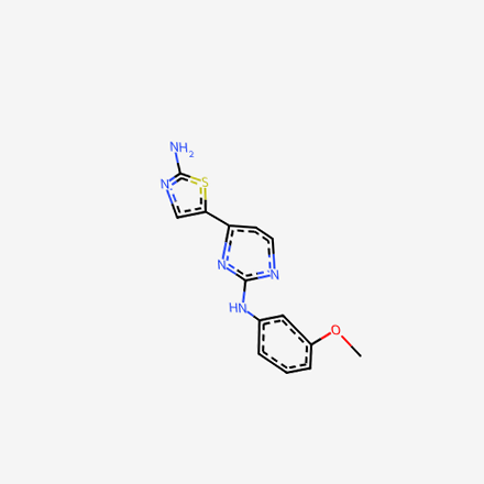 COc1cccc(Nc2nccc(-c3cnc(N)s3)n2)c1